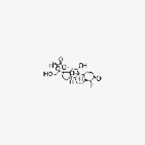 CCCC(=O)O[C@@]1(C(=O)CO)[C@@H](C)C[C@H]2[C@@H]3CCC4=C(F)C(=O)C=C[C@]4(C)[C@@]3(Cl)[C@@H](O)C[C@@]21C